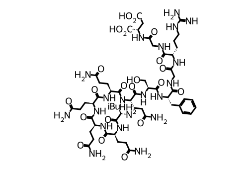 CC[C@H](C)[C@H](N)C(=O)N[C@@H](CCC(N)=O)C(=O)N[C@@H](CCC(N)=O)C(=O)N[C@@H](CCC(N)=O)C(=O)N[C@@H](CCC(N)=O)C(=O)N[C@@H](CCC(N)=O)C(=O)N[C@@H](CO)C(=O)N[C@@H](Cc1ccccc1)C(=O)NCC(=O)N[C@@H](CCCNC(=N)N)C(=O)NCC(=O)N[C@@H](CC(=O)O)C(=O)O